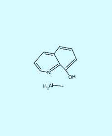 Oc1cccc2cccnc12.[CH3][AlH2]